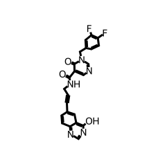 O=C(NCC#Cc1ccc2ncnc(O)c2c1)c1cncn(Cc2ccc(F)c(F)c2)c1=O